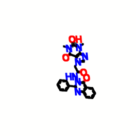 CN1C(=O)c2c(ncn2CC(=O)Nn2c(-c3ccccc3)nc3ccccc3c2=O)N(C)[C@@H]1O